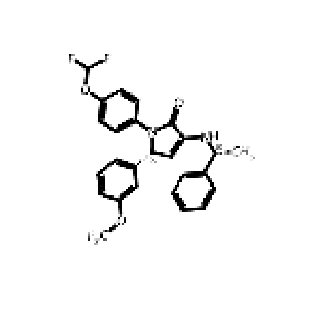 C[C@@H](NC1=C[C@H](c2cccc(OC(F)(F)F)c2)N(c2ccc(OC(F)F)cc2)C1=O)c1ccccc1